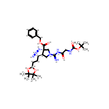 CC(C)(C)OC(=O)NCC(=O)NC(=N)N1C[C@@H](CCCB2OC(C)(C)C(C)(C)O2)[C@@](N=[N+]=[N-])(C(=O)OCc2ccccc2)C1